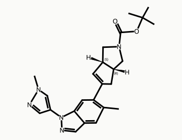 Cc1cc2cnn(-c3cnn(C)c3)c2cc1C1=C[C@@H]2CN(C(=O)OC(C)(C)C)C[C@@H]2C1